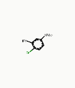 CNc1ccc(Br)c(C(C)C)c1